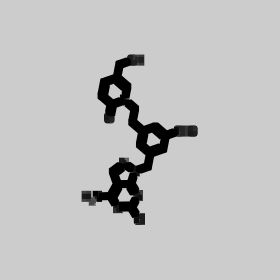 Nc1nc(Cl)nc2c1cnn2Cc1cc(C=O)cc(CCn2cc(CO)ccc2=O)c1